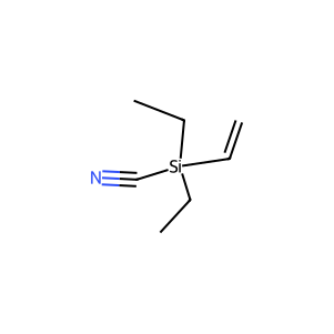 C=C[Si](C#N)(CC)CC